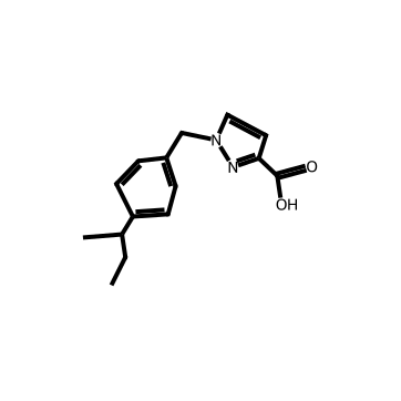 CCC(C)c1ccc(Cn2ccc(C(=O)O)n2)cc1